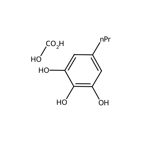 CCCc1cc(O)c(O)c(O)c1.O=C(O)O